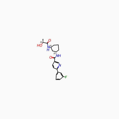 C[C@H](O)C(=O)N[C@H]1CCC[C@H](NC(=O)c2ccc(-c3cccc(F)c3)nc2)C1